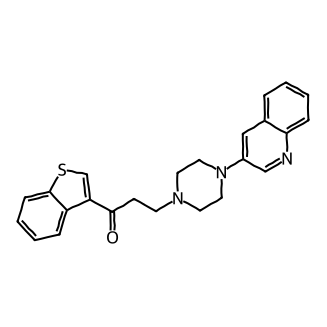 O=C(CCN1CCN(c2cnc3ccccc3c2)CC1)c1csc2ccccc12